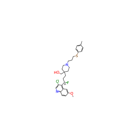 COc1ccc2ncc(Cl)c([C@H](F)CCC3(CO)CCN(CCCSc4ccc(C)cc4)CC3)c2c1